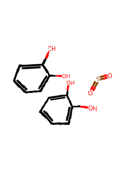 O=S=O.Oc1ccccc1O.Oc1ccccc1O